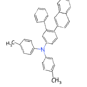 Cc1ccc(N(c2ccc(C)cc2)c2ccc(-c3ccc4ccccc4c3)c(-c3ccccc3)c2)cc1